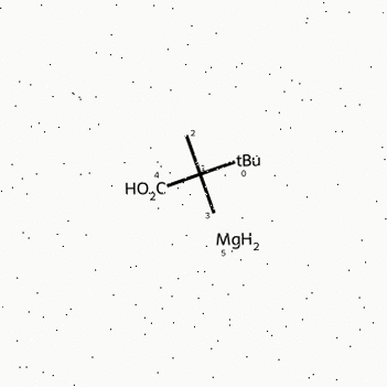 CC(C)(C)C(C)(C)C(=O)O.[MgH2]